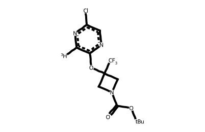 [3H]c1nc(Cl)cnc1OC1(C(F)(F)F)CN(C(=O)OC(C)(C)C)C1